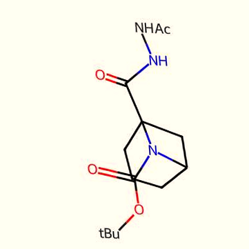 CC(=O)NNC(=O)C12CCCC(C1)N2C(=O)OC(C)(C)C